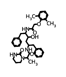 Cc1cccc(C)c1OCC(=O)NC(Cc1ccccc1)C(O)CC(Cc1ccccc1)NC(=O)C(C)N1CCCNC1=O